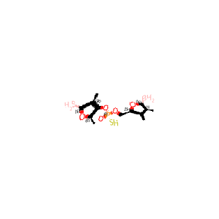 B[C@@H]1O[C@H](C)C(O[P@](=O)(S)OC[C@H]2O[C@@H](B)[C@@H](C)C2C)[C@@H]1C